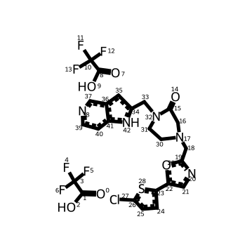 O=C(O)C(F)(F)F.O=C(O)C(F)(F)F.O=C1CN(Cc2ncc(-c3ccc(Cl)s3)o2)CCN1Cc1cc2cnccc2[nH]1